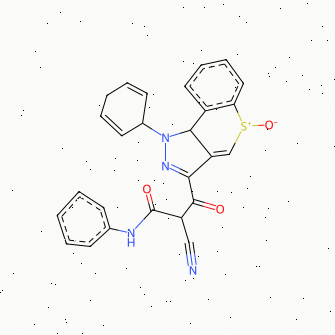 N#CC(C(=O)Nc1ccccc1)C(=O)C1=NN(C2C=CCC=C2)C2C1=C[S+]([O-])c1ccccc12